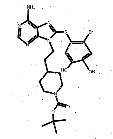 CC(C)(C)OC(=O)N1CCC(CCn2c(Sc3cc(O)c(O)cc3Br)nc3c(N)ncnc32)CC1